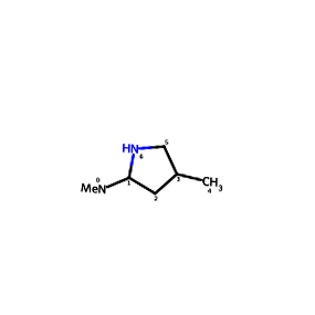 CNC1CC(C)CN1